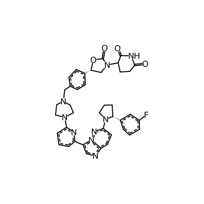 O=C1CCC(N2C[C@H](c3ccc(CN4CCN(c5cccc(-c6cnc7ccc(N8CCC[C@@H]8c8cccc(F)c8)nn67)n5)CC4)cc3)OC2=O)C(=O)N1